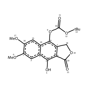 COc1cc2c(O)c3c(c(OC(=O)OC(C)(C)C)c2cc1OC)COC3=O